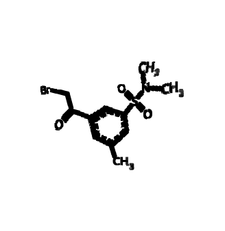 Cc1cc(C(=O)CBr)cc(S(=O)(=O)N(C)C)c1